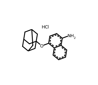 Cl.Nc1ccc(OC23CC4CC(CC(C4)C2)C3)c2ccccc12